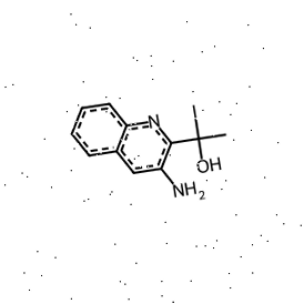 CC(O)(I)c1nc2ccccc2cc1N